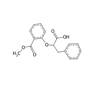 COC(=O)c1ccccc1OC(Cc1ccccc1)C(=O)O